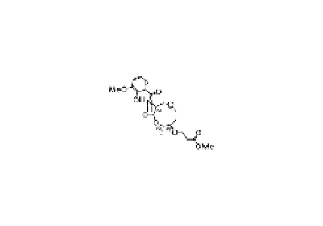 COC(=O)CCO[C@@H]1CCOC[C@H](NC(=O)c2nccc(OC)c2O)C(=O)O[C@H]1C